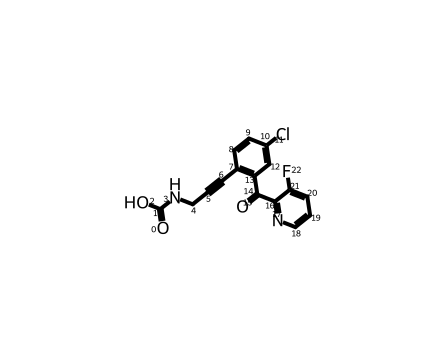 O=C(O)NCC#Cc1ccc(Cl)cc1C(=O)c1ncccc1F